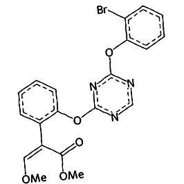 COC=C(C(=O)OC)c1ccccc1Oc1ncnc(Oc2ccccc2Br)n1